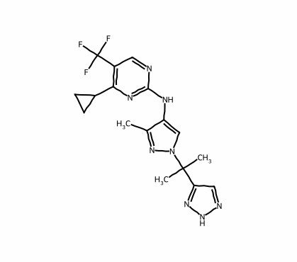 Cc1nn(C(C)(C)c2cn[nH]n2)cc1Nc1ncc(C(F)(F)F)c(C2CC2)n1